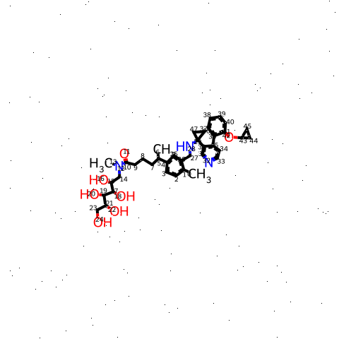 Cc1ccc(C(C)CCCC(=O)N(C)CC(O)C(O)C(O)C(O)CO)cc1CNC1(c2cnccc2-c2ccccc2OC2CC2)CC1